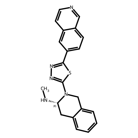 CN[C@H]1Cc2ccccc2CN1c1nnc(-c2ccc3cnccc3c2)s1